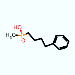 CP(=O)(O)CCCCc1ccccc1